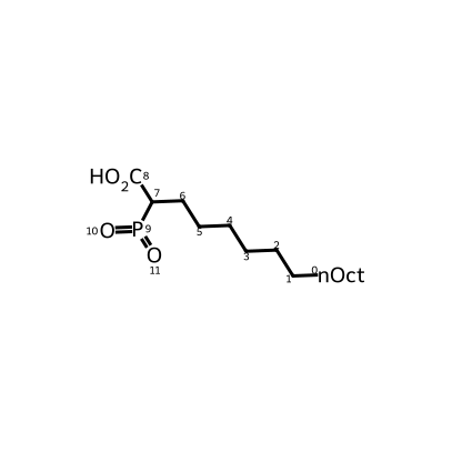 CCCCCCCCCCCCCCC(C(=O)O)P(=O)=O